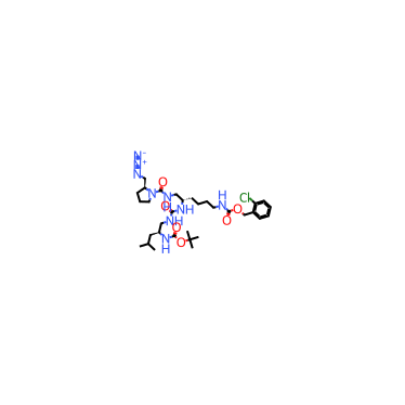 CC(C)C[C@@H](CNC(=O)N[C@@H](CCCCNC(=O)OCc1ccccc1Cl)CNC(=O)N1CCC[C@H]1CN=[N+]=[N-])NC(=O)OC(C)(C)C